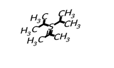 CC(C)[SH](C(C)C)C(C)C